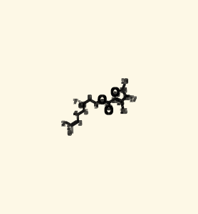 CC(C)=CCC[C@H](C)CCOC(=O)C1=C(C)C(C)C(C)O1